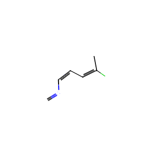 C=N/C=C\C=C(/C)Cl